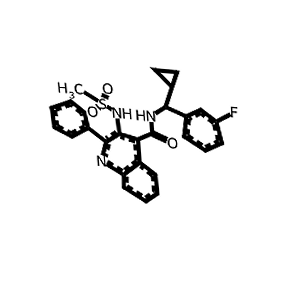 CS(=O)(=O)Nc1c(-c2ccccc2)nc2ccccc2c1C(=O)NC(c1cccc(F)c1)C1CC1